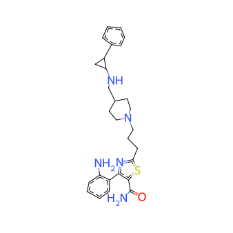 NC(=O)c1sc(CCCN2CCC(CNC3CC3c3ccccc3)CC2)nc1-c1ccccc1N